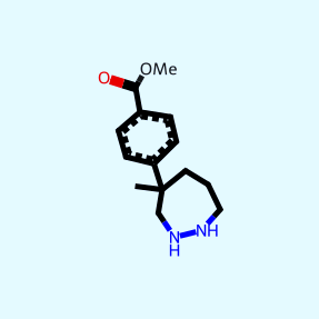 COC(=O)c1ccc(C2(C)CCCNNC2)cc1